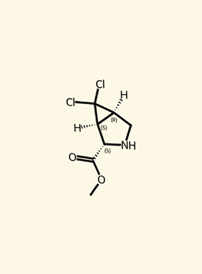 COC(=O)[C@H]1NC[C@H]2[C@@H]1C2(Cl)Cl